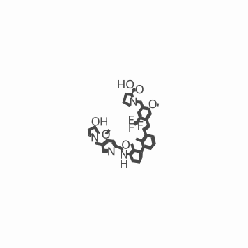 COc1cc(C(=O)Nc2cccc(-c3cccc(/C=C/c4cc(OC)c(CN5CCC[C@H]5C(=O)O)cc4C(F)(F)F)c3C)c2C)ncc1CN1CC[C@@H](O)C1